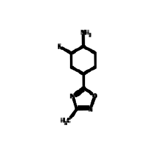 Cc1noc(C2CCC(N)C(F)C2)n1